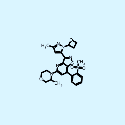 Cc1cc(-c2nsc3c(-c4ccccc4S(C)(=O)=O)cc(N4CCOCC4C)nc23)n(C2CCO2)n1